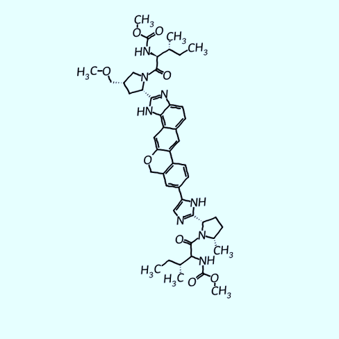 CC[C@@H](C)C(NC(=O)OC)C(=O)N1[C@@H](C)CC[C@H]1c1ncc(-c2ccc3c(c2)COc2cc4c(ccc5nc([C@@H]6C[C@H](COC)CN6C(=O)[C@@H](NC(=O)OC)[C@H](C)CC)[nH]c54)cc2-3)[nH]1